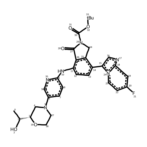 CC(O)[C@@H]1CN(c2ccc(Nc3ccc(-c4cnc5cc(F)ccn45)c4c3C(=O)N(C(=O)OC(C)(C)C)C4)nc2)CCO1